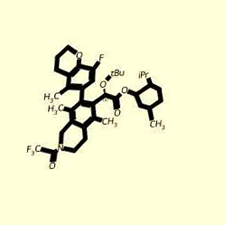 Cc1c(-c2c(C)c3c(c(C)c2[C@H](OC(C)(C)C)C(=O)OC2CC(C)CCC2C(C)C)CCN(C(=O)C(F)(F)F)C3)cc(F)c2c1CCCO2